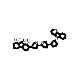 CC1(C)c2ccccc2-c2ccc(-c3ccc(-c4ccc(-c5cccc(-n6c7ccccc7c7ncccc76)c5)cn4)nc3)cc21